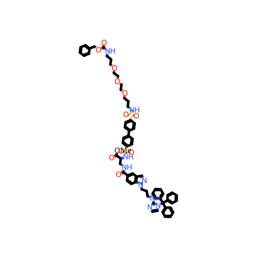 COC(=O)C(CNC(=O)c1ccc2c(cnn2CCCNc2nccn2C(c2ccccc2)(c2ccccc2)c2ccccc2)c1)NS(=O)(=O)c1ccc(-c2ccc(S(=O)(=O)NCCCOCCOCCOCCCNC(=O)OCc3ccccc3)cc2)cc1